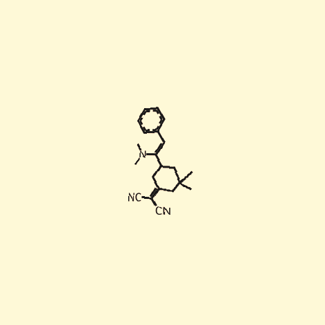 CN(C)C(=Cc1ccccc1)C1CC(=C(C#N)C#N)CC(C)(C)C1